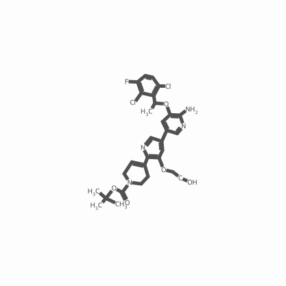 CC(Oc1cc(-c2cnc(C3=CCN(C(=O)OC(C)(C)C)CC3)c(OCCO)c2)cnc1N)c1c(Cl)ccc(F)c1Cl